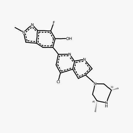 C[C@@H]1CN(c2cnc3nc(-c4cc5cn(C)nc5c(F)c4O)cc(Cl)c3c2)C[C@H](C)N1